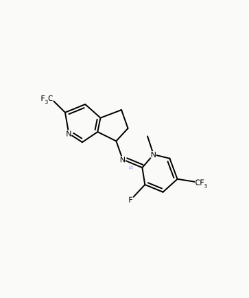 Cn1cc(C(F)(F)F)cc(F)/c1=N/C1CCc2cc(C(F)(F)F)ncc21